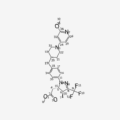 COC(=O)C[C@H]1[C@H](C)C(C(F)(F)F)=NN1c1ccc(CC2CCN(c3ccnc(OC)c3)CC2)cc1